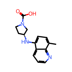 Cc1ccc(N[C@H]2CCN(C(=O)O)C2)c2cccnc12